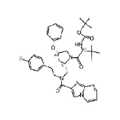 CC(C)(C)OC(=O)N[C@H](C(=O)N1C[C@@H](Oc2ccccc2)C[C@H]1CN(CCc1ccc(F)cc1)C(=O)c1cn2cccnc2n1)C(C)(C)C